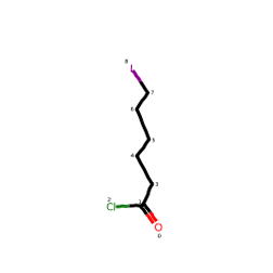 O=C(Cl)CCCCCI